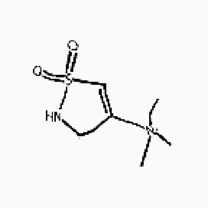 C[N+](C)(C)C1=CS(=O)(=O)N[CH]1